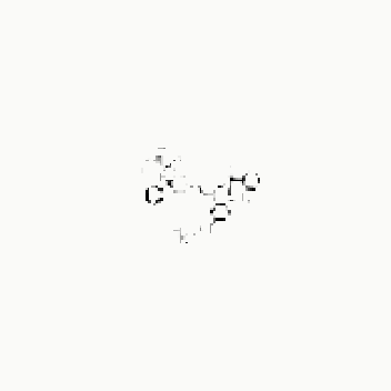 CN(C)C(=O)NC1(c2ccccc2)CCN(CCC(CN(C)C(=O)c2ccccc2)c2ccc(Cl)c(Cl)c2)CC1.Cl.O